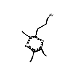 Cc1nc(C)c(CCC(C)C)nc1C